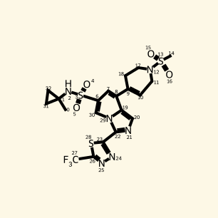 CC1(NS(=O)(=O)c2cc(C3=CCN(S(C)(=O)=O)CC3)c3cnc(-c4nnc(C(F)(F)F)s4)n3c2)CC1